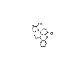 CC1=NCC2CN=C(c3ccccc3F)c3cc(Cl)ccc3N12